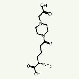 N[C@H](CCCC(=O)N1CCN(CC(=O)O)CC1)C(=O)O